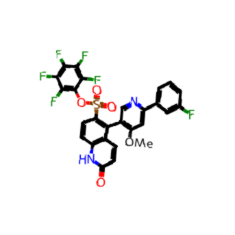 COc1cc(-c2cccc(F)c2)ncc1-c1c(S(=O)(=O)Oc2c(F)c(F)c(F)c(F)c2F)ccc2[nH]c(=O)ccc12